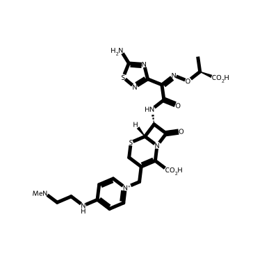 CNCCNc1cc[n+](CC2=C(C(=O)O)N3C(=O)[C@@H](NC(=O)/C(=N\O[C@@H](C)C(=O)O)c4nsc(N)n4)[C@H]3SC2)cc1